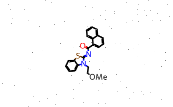 COCCn1/c(=N/C(=O)c2cccc3ccccc23)sc2ccccc21